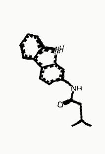 CC(C)CC(=O)Nc1ccc2c(c1)[nH]c1ccccc12